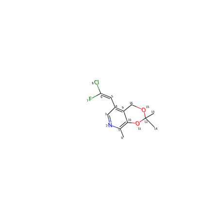 Cc1ncc(/C=C(\F)Cl)c2c1OC(C)(C)OC2